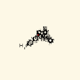 CN1CCN(C2CCN(C(=O)OC3(c4ccccc4)C(=O)N(S(=O)(=O)c4ccccc4)c4ccc(Cl)cc43)CC2)CC1